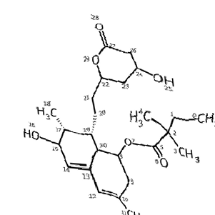 CCC(C)(C)C(=O)OC1CC(C)=CC2=CC(O)[C@H](C)[C@H](CCC3CC(O)CC(=O)O3)C21